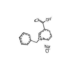 O=C(O)c1ccc[n+](Cc2ccccc2)c1.[Cl-].[Na]